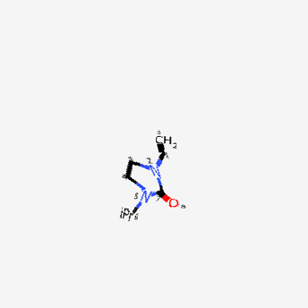 C=CN1CCN(C(C)C)C1=O